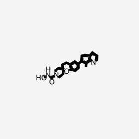 Cc1c(-c2ccc3c(c2)CCC2(CCN(C(=O)NO)CC2)O3)ccc2cccnc12